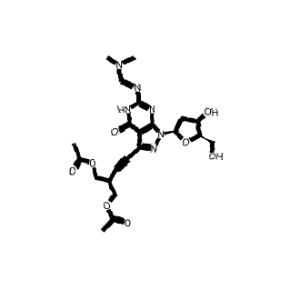 CC(=O)OCC(C#Cc1nn([C@H]2CC(O)[C@@H](CO)O2)c2nc(/N=C/N(C)C)[nH]c(=O)c12)COC(C)=O